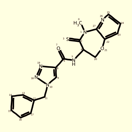 CN1C(=S)C(NC(=O)c2cn(Cc3ccccc3)nn2)COc2cccnc21